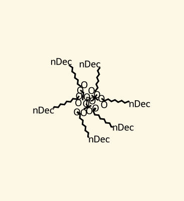 CCCCCCCCCCCCCCCCCC(=O)OCC(C)(OC(=O)CCCCCCCCCCCCCCCCC)OP(OC(C)(COC(=O)CCCCCCCCCCCCCCCCC)OC(=O)CCCCCCCCCCCCCCCCC)OC(C)(COC(=O)CCCCCCCCCCCCCCCCC)OC(=O)CCCCCCCCCCCCCCCCC